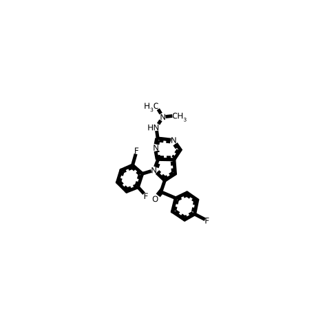 CN(C)Nc1ncc2cc(C(=O)c3ccc(F)cc3)n(-c3c(F)cccc3F)c2n1